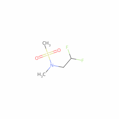 CN(CC(F)F)S(C)(=O)=O